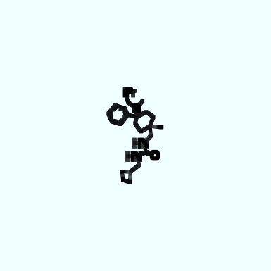 CC(C)CN(C)[C@]1(c2ccccc2)CC[C@@](C)(CNC(=O)NCC2CCC2)CC1